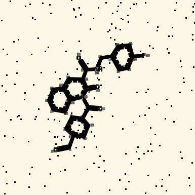 O=Cc1ccc(C(=O)n2c(=O)c(C(=O)NCc3ccc(F)cc3)cc3ccccc32)cc1